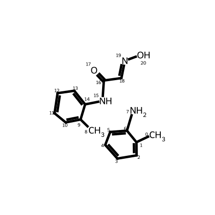 Cc1ccccc1N.Cc1ccccc1NC(=O)C=NO